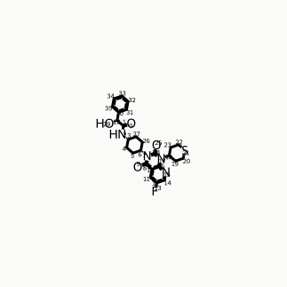 O=C(N[C@H]1CC[C@@H](n2c(=O)c3cc(F)cnc3n(C3CCSCC3)c2=O)CC1)[C@@H](O)c1ccccc1